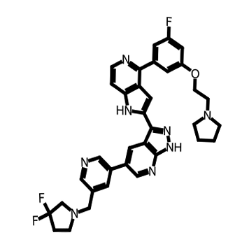 Fc1cc(OCCN2CCCC2)cc(-c2nccc3[nH]c(-c4n[nH]c5ncc(-c6cncc(CN7CCC(F)(F)C7)c6)cc45)cc23)c1